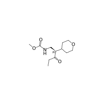 CCC(=O)[C@@H](CNC(=O)OC)C1CCOCC1